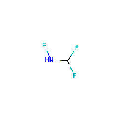 FNC(F)F